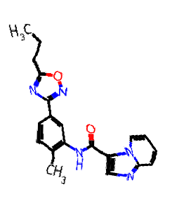 CCCc1nc(-c2ccc(C)c(NC(=O)c3cnc4ccccn34)c2)no1